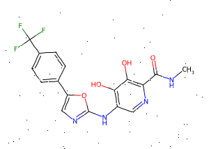 CNC(=O)c1ncc(Nc2ncc(-c3ccc(C(F)(F)F)cc3)o2)c(O)c1O